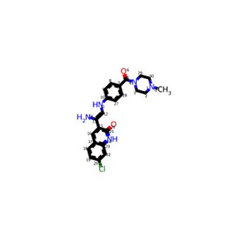 CN1CCN(C(=O)c2ccc(N/C=C(\N)c3cc4ccc(Cl)cc4[nH]c3=O)cc2)CC1